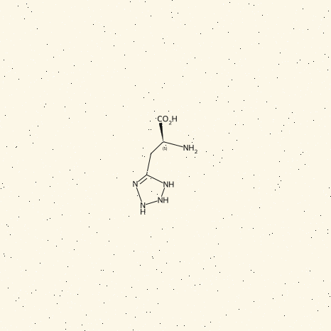 N[C@@H](CC1=NNNN1)C(=O)O